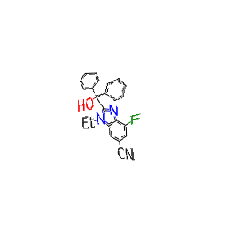 CCn1c(C(O)(c2ccccc2)c2ccccc2)nc2c(F)cc(C#N)cc21